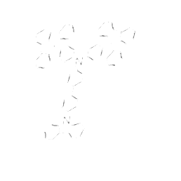 c1ccc(C2(c3ccc(N(c4ccc(-c5ccc(-n6c7ccccc7c7ccccc76)cc5)cc4)c4ccc(C5(c6ccccc6)c6ccccc6-c6ccccc65)cc4)cc3)c3ccccc3-c3ccccc32)cc1